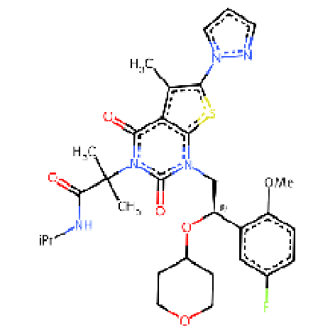 COc1ccc(F)cc1[C@H](Cn1c(=O)n(C(C)(C)C(=O)NC(C)C)c(=O)c2c(C)c(-n3cccn3)sc21)OC1CCOCC1